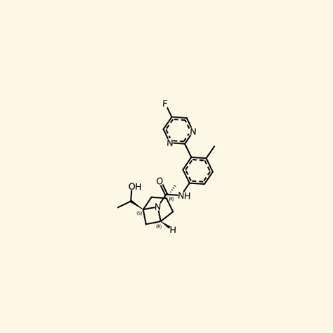 Cc1ccc(NC(=O)N2[C@@H]3C[C@@H](C)C[C@@]2(C(C)O)C3)cc1-c1ncc(F)cn1